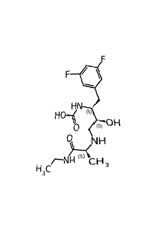 CCNC(=O)[C@H](C)NC[C@H](O)[C@H](Cc1cc(F)cc(F)c1)NC(=O)O